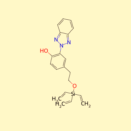 C=C[Si](C=C)(C=C)OCCc1ccc(O)c(-n2nc3ccccc3n2)c1